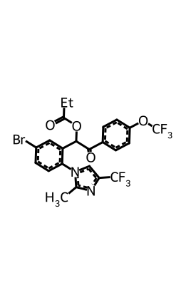 CCC(=O)OC(C(=O)c1ccc(OC(F)(F)F)cc1)c1cc(Br)ccc1-n1cc(C(F)(F)F)nc1C